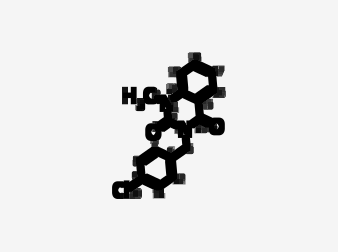 Cn1c(=O)n(Cc2ccc(Cl)cc2)c(=O)c2ccccc21